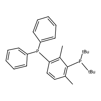 Cc1ccc(P(c2ccccc2)c2ccccc2)c(C)c1P(C(C)(C)C)C(C)(C)C